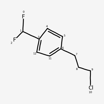 FC(F)c1ccc(CCCCl)cc1